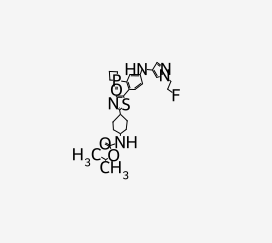 CC(C)OC(=O)NC1CCC(c2ncc(-c3ccc(Nc4cnn(CCF)c4)cc3P3(=O)CCC3)s2)CC1